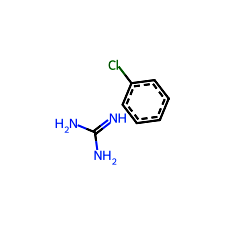 Clc1ccccc1.N=C(N)N